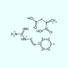 C=C(CC(=O)O)C(=O)O.N=C(N)NC=Cc1ccccc1